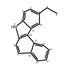 CCc1ccc2[nH]c3ccc4ccccc4c3c2c1